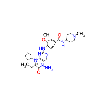 CC[C@@H]1C(=O)N(N)c2cnc(Nc3ccc(C(=O)NC4CCN(C)CC4)cc3OC)nc2N1C1CCCC1